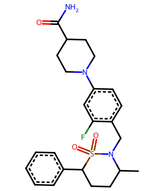 CC1CCC(c2ccccc2)S(=O)(=O)N1Cc1ccc(N2CCC(C(N)=O)CC2)cc1F